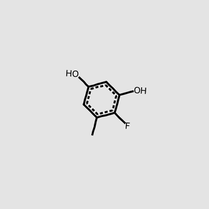 Cc1cc(O)cc(O)c1F